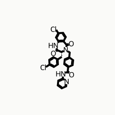 O=C(Nc1ccccn1)c1ccc(CN2C(=O)c3ccc(Cl)cc3NC(=O)[C@H]2Cc2ccc(Cl)cc2)cc1